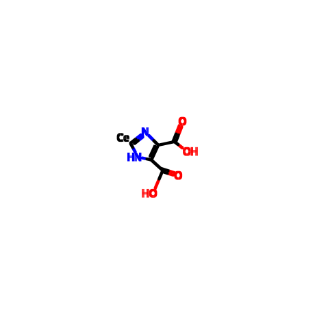 O=C(O)c1nc[nH]c1C(=O)O.[Ce]